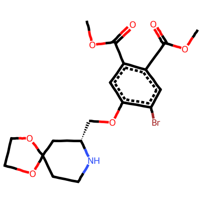 COC(=O)c1cc(Br)c(OC[C@H]2CC3(CCN2)OCCO3)cc1C(=O)OC